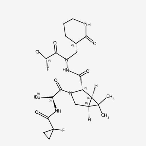 CC[C@H](C)[C@H](NC(=O)C1(F)CC1)C(=O)N1C[C@H]2[C@@H]([C@H]1C(=O)NN(C[C@@H]1CCCNC1=O)C(=O)[C@H](F)Cl)C2(C)C